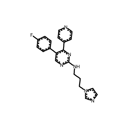 Fc1ccc(-c2cnc(NCCCn3ccnc3)nc2-c2ccncc2)cc1